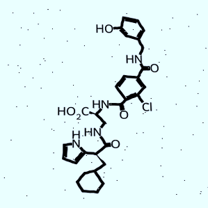 O=C(NCc1cccc(O)c1)c1ccc(C(=O)N[C@@H](CNC(=O)[C@@H](CC2CCCCC2)c2ccc[nH]2)C(=O)O)c(Cl)c1